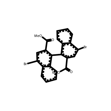 COC(=O)c1cc(Br)c2ccccc2c1-c1c(C(=O)OC)cc(Br)c2ccccc12